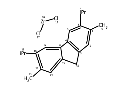 Cc1cc2c(cc1C(C)C)-c1cc(C(C)C)c(C)cc1[CH]2.[Cl][Zr][Cl]